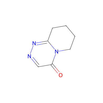 O=c1cnnc2n1CCCC2